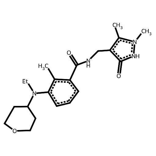 CCN(c1cccc(C(=O)NCc2c(C)n(C)[nH]c2=O)c1C)C1CCOCC1